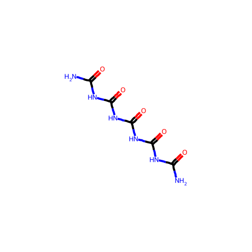 NC(=O)NC(=O)NC(=O)NC(=O)NC(N)=O